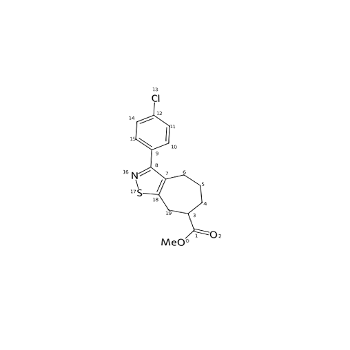 COC(=O)C1CCCc2c(-c3ccc(Cl)cc3)nsc2C1